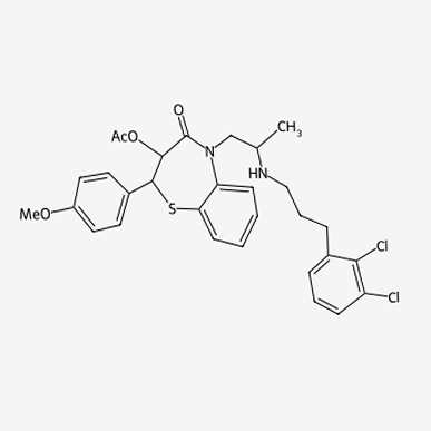 COc1ccc(C2Sc3ccccc3N(CC(C)NCCCc3cccc(Cl)c3Cl)C(=O)C2OC(C)=O)cc1